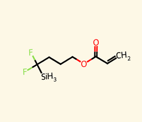 C=CC(=O)OCCCC(F)(F)[SiH3]